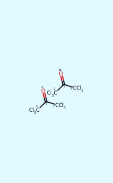 O=C(C(Cl)(Cl)Cl)C(Cl)(Cl)Cl.O=C(C(Cl)(Cl)Cl)C(Cl)(Cl)Cl